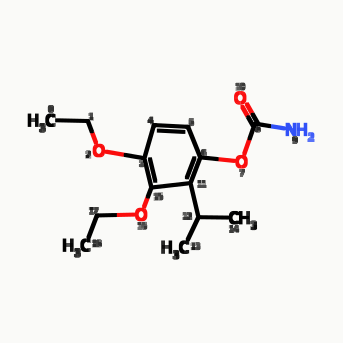 CCOc1ccc(OC(N)=O)c(C(C)C)c1OCC